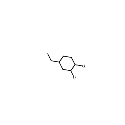 CCC1CCC(Cl)C(Cl)C1